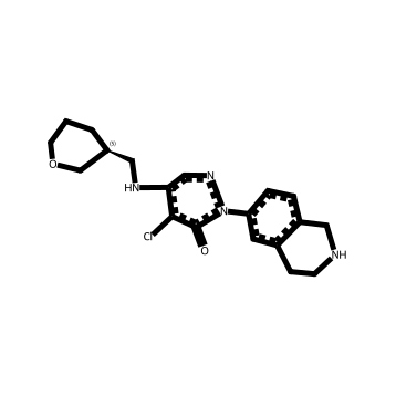 O=c1c(Cl)c(NC[C@@H]2CCCOC2)cnn1-c1ccc2c(c1)CCNC2